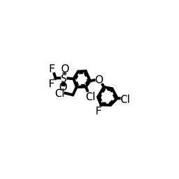 O=S(=O)(c1ccc(Oc2cc(F)cc(Cl)c2)c(Cl)c1CCl)C(F)F